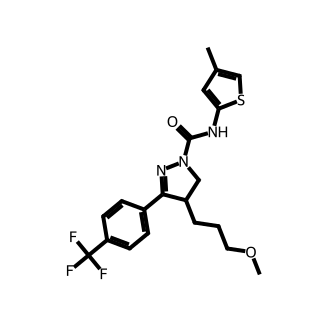 COCCCC1CN(C(=O)Nc2cc(C)cs2)N=C1c1ccc(C(F)(F)F)cc1